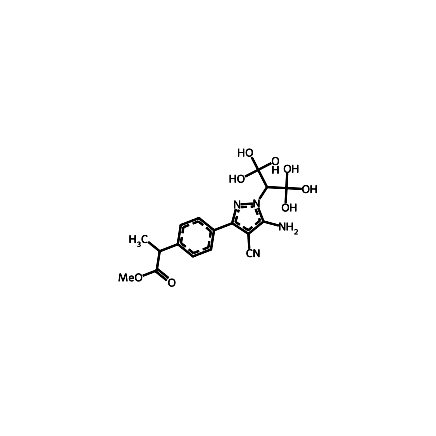 COC(=O)C(C)c1ccc(-c2nn(C(C(O)(O)O)C(O)(O)O)c(N)c2C#N)cc1